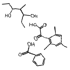 CCC(O)C(C)C(O)CC.Cc1cc(C)c(C(=O)C(=O)O)c(C)c1.O=C(O)c1ccccc1